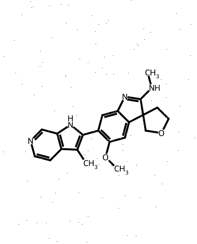 CNC1=Nc2cc(-c3[nH]c4cnccc4c3C)c(OC)cc2C12CCOC2